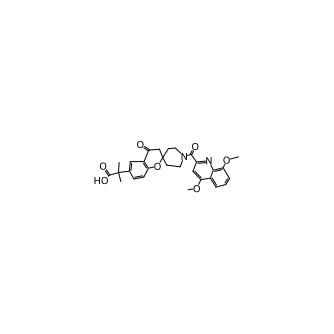 COc1cc(C(=O)N2CCC3(CC2)CC(=O)c2cc(C(C)(C)C(=O)O)ccc2O3)nc2c(OC)cccc12